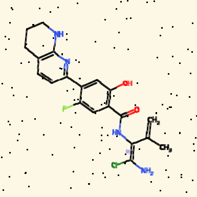 C=C(C)/C(NC(=O)c1cc(F)c(-c2ccc3c(n2)NCCC3)cc1O)=C(\N)Cl